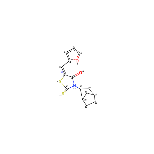 O=C1/C(=C\c2ccco2)SC(=S)N1C1CC2CCC1C2